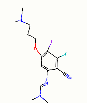 CN(C)/C=N/c1cc(OCCCN(C)C)c(I)c(F)c1C#N